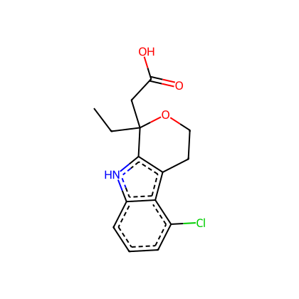 CCC1(CC(=O)O)OCCc2c1[nH]c1cccc(Cl)c21